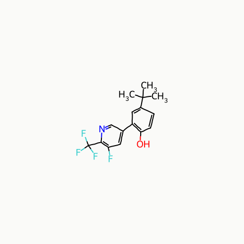 CC(C)(C)c1ccc(O)c(-c2cnc(C(F)(F)F)c(F)c2)c1